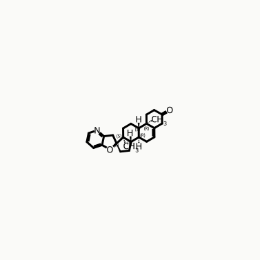 C[C@]12CCC(=O)CC1=CC[C@@H]1[C@@H]2CC[C@@]2(C)[C@H]1CC[C@@]21Cc2ncccc2O1